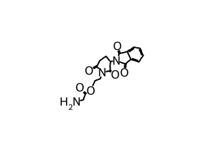 NCC(=O)OCCN1C(=O)CCC(N2C(=O)c3ccccc3C2=O)C1=O